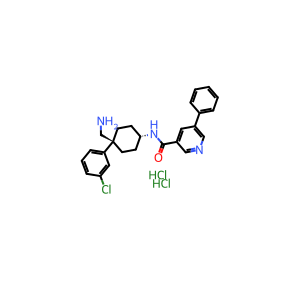 Cl.Cl.NC[C@]1(c2cccc(Cl)c2)CC[C@@H](NC(=O)c2cncc(-c3ccccc3)c2)CC1